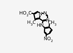 Cc1ccc([N+](=O)[O-])cc1Nc1ncnn2cc(C(=O)O)c(C)c12